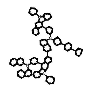 c1ccc(-c2ccc(-c3ccc(N(c4cccc(-c5c6ccccc6cc6c5c5ccccc5n6-c5ccccc5)c4)c4cccc5cc(-c6ccc7cc8c(c(-c9cccc(N(c%10ccc%11ccccc%11c%10)c%10cccc%11ccccc%10%11)c9)c7c6)c6ccccc6n8-c6ccccc6)ccc45)cc3)cc2)cc1